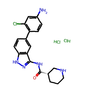 Cl.Cl.Nc1ccc(-c2ccc3[nH]nc(NC(=O)[C@H]4CCCNC4)c3c2)c(Cl)c1